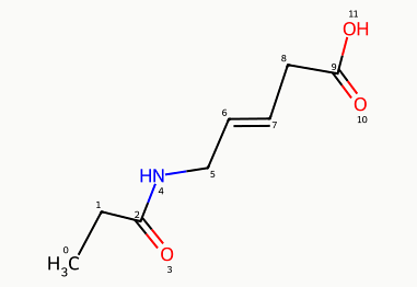 CCC(=O)NC/C=C/CC(=O)O